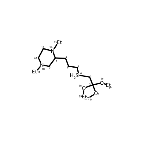 CCOC(C[SiH2]CCCC1CN(CC)CCN1CC)(OCC)OCC